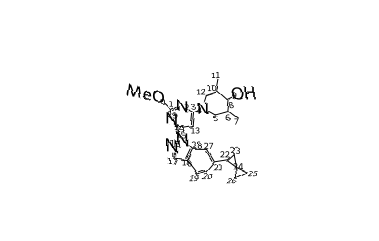 COc1nc(N2CC(C)C(O)C(C)C2)cc(-n2ncc3ccc(C4CC45CC5)cc32)n1